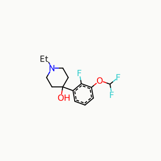 CCN1CCC(O)(c2cccc(OC(F)F)c2F)CC1